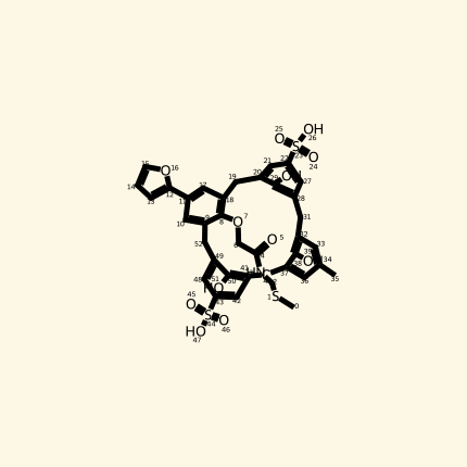 CSCNC(=O)COc1c2cc(-c3ccco3)cc1Cc1cc(S(=O)(=O)O)cc(c1O)Cc1cc(C)cc(c1O)Cc1cc(S(=O)(=O)O)cc(c1O)C2